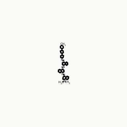 CC1CCC(c2ccc(-c3ccc(N=Nc4ccc(N=Nc5ccc(N=Nc6ccc(N(C)C)c7ccccc67)c6ccccc56)c5ccccc45)cc3)cc2)CC1